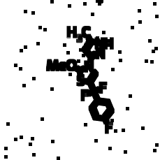 COC1SC(C(F)(F)c2ccc(F)cc2)=CN1c1cc(C)[nH]n1